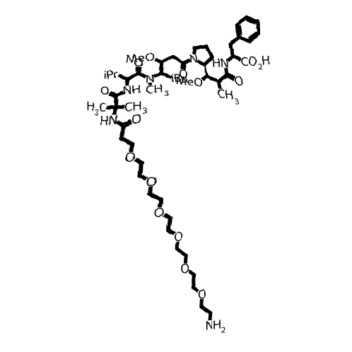 CCC(C)C(C(CC(=O)N1CCC[C@H]1C(OC)C(C)C(=O)NC(Cc1ccccc1)C(=O)O)OC)N(C)C(=O)C(NC(=O)C(C)(C)NC(=O)CCOCCOCCOCCOCCOCCOCCN)C(C)C